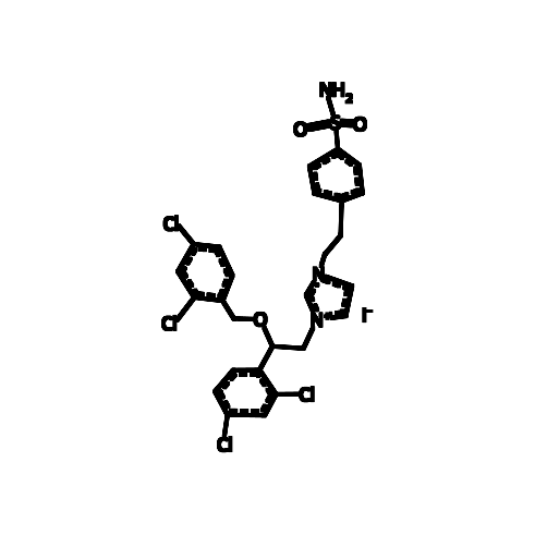 NS(=O)(=O)c1ccc(CCn2cc[n+](CC(OCc3ccc(Cl)cc3Cl)c3ccc(Cl)cc3Cl)c2)cc1.[I-]